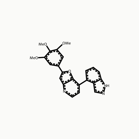 COc1cc(-c2cc3nccc(-c4cccc5[nH]ncc45)c3o2)cc(OC)c1OC